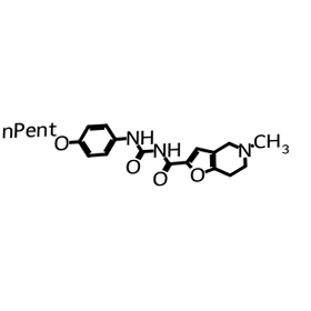 CCCCCOc1ccc(NC(=O)NC(=O)c2cc3c(o2)CCN(C)C3)cc1